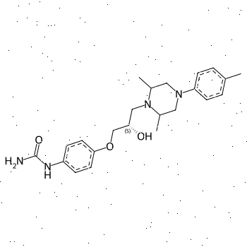 Cc1ccc(N2CC(C)N(C[C@H](O)COc3ccc(NC(N)=O)cc3)C(C)C2)cc1